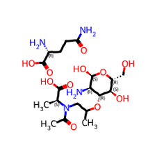 CC(=O)N(CC(C)O[C@@H]1[C@@H](N)[C@@H](O)O[C@H](CO)[C@H]1O)[C@@H](C)C(=O)O.NC(=O)CC[C@@H](N)C(=O)O